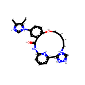 Cc1ncn(-c2ccc3c(c2)C(=O)Nc2cccc(n2)-c2nncn2CCCCO3)c1C